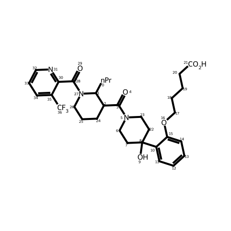 CCCC1C(C(=O)N2CCC(O)(c3ccccc3OCCCCC(=O)O)CC2)CCCN1C(=O)c1ncccc1C(F)(F)F